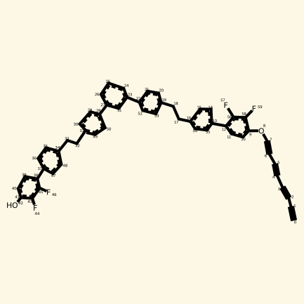 C#CC#CC#CC#COc1ccc(-c2ccc(CCc3ccc(-c4cccc(-c5ccc(CCc6ccc(-c7ccc(O)c(F)c7F)cc6)cc5)c4)cc3)cc2)c(F)c1F